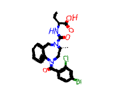 CCC(NC(=O)N1Cc2ccccc2N(C(=O)c2ccc(Br)cc2Cl)C[C@H]1C)C(=O)O